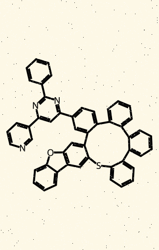 c1ccc(-c2nc(-c3cccnc3)cc(-c3ccc4c(c3)-c3cc5oc6ccccc6c5cc3Sc3ccccc3-c3ccccc3-c3ccccc3-4)n2)cc1